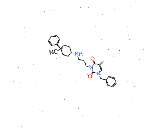 Cc1cn(Cc2ccccc2)c(=O)n(CCCN[C@H]2CC[C@@](C#N)(c3ccccc3)CC2)c1=O